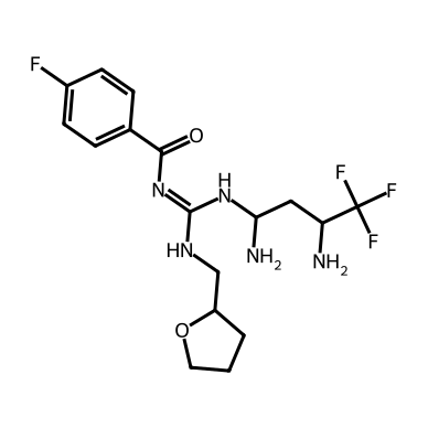 NC(CC(N)C(F)(F)F)N/C(=N\C(=O)c1ccc(F)cc1)NCC1CCCO1